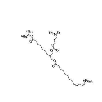 CCCCC/C=C\C/C=C\CCCCCCCC(=O)OCC(CCCCCCC(=O)OC(CCCC)CCCC)COC(=O)OCCCN(CC)CC